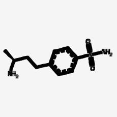 C[C@H](N)CCc1ccc(S(N)(=O)=O)cc1